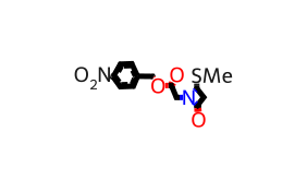 CSC1CC(=O)N1CC(=O)OCc1ccc([N+](=O)[O-])cc1